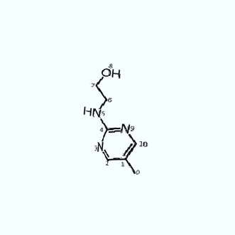 Cc1cnc(NCCO)nc1